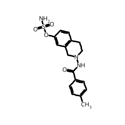 Cc1ccc(C(=O)NN2CCc3ccc(OS(N)(=O)=O)cc3C2)cc1